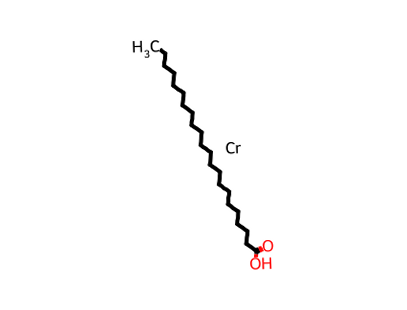 CCCCCCCCCCCCCCCCCCCCCC(=O)O.[Cr]